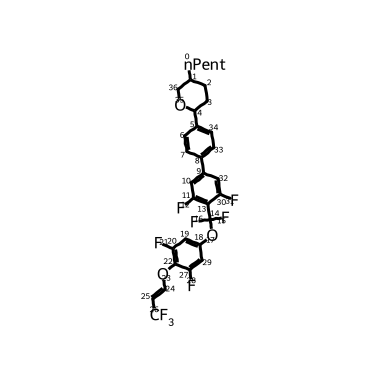 CCCCCC1CCC(c2ccc(-c3cc(F)c(C(F)(F)Oc4cc(F)c(O/C=C/C(F)(F)F)c(F)c4)c(F)c3)cc2)OC1